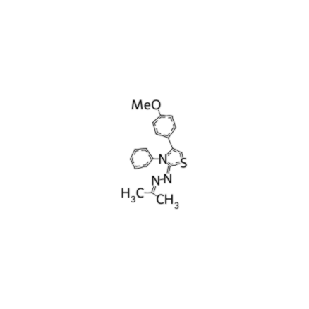 COc1ccc(-c2csc(=NN=C(C)C)n2-c2ccccc2)cc1